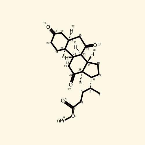 CCCOC(=O)CCC(C)[C@H]1CC[C@H]2[C@@H]3C(=O)C[C@@H]4CC(=O)CC[C@]4(C)[C@H]3CC(=O)[C@]12C